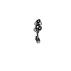 O=C1C(Oc2ccccc2)=CC(=O)c2c(OCCCCN3CCOCC3)cccc21